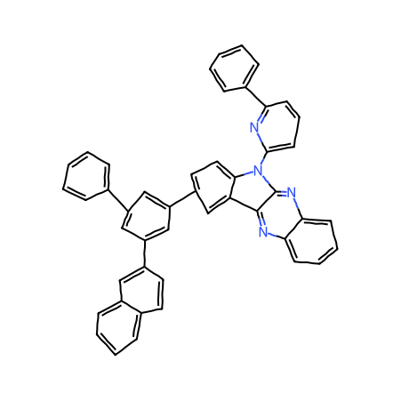 c1ccc(-c2cc(-c3ccc4ccccc4c3)cc(-c3ccc4c(c3)c3nc5ccccc5nc3n4-c3cccc(-c4ccccc4)n3)c2)cc1